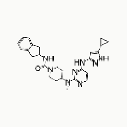 CN(c1nccc(Nc2cc(C3CC3)[nH]n2)n1)C1CCN(C(=O)NC2Cc3ccccc3C2)CC1